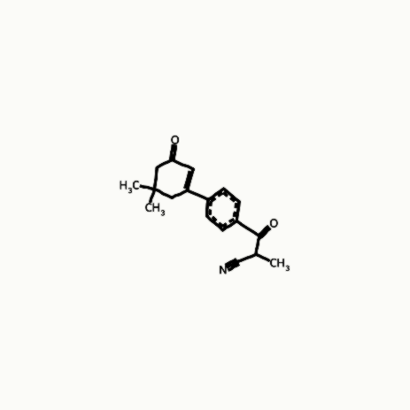 CC(C#N)C(=O)c1ccc(C2=CC(=O)CC(C)(C)C2)cc1